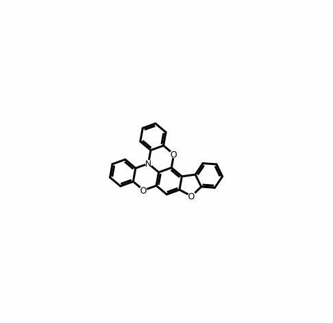 c1ccc2c(c1)Oc1cc3oc4ccccc4c3c3c1N2c1ccccc1O3